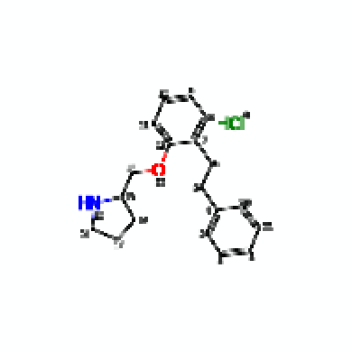 Cl.c1ccc(CCc2ccccc2OCC2CCCN2)cc1